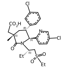 CC[C@@H](CS(=O)(=O)CC)N1C(=O)[C@](C)(CC(=O)O)C[C@H](c2cccc(Cl)c2)[C@H]1c1ccc(Cl)cn1